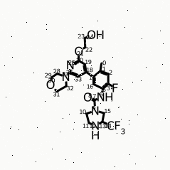 Cc1cc(F)c(NC(=O)N2CCNC(C(F)(F)F)C2)cc1-c1cc(OCCO)nc(N2CCOCC2)c1